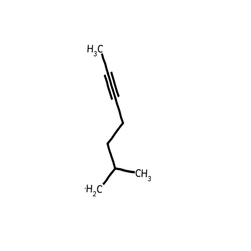 [CH2]C(C)CCC#CC